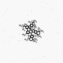 Cc1cc2c3c(c1)N(c1ccc4c(c1)C(C)(C)CCC4(C)C)C1=C(B3n3c4ccc(C(C)(C)C)cc4c4cc(C(C)(C)C)cc-2c43)C(C)(C)c2cc3c(cc21)C(C)(C)CCC3(C)C